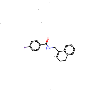 O=C(NCC1=CCCc2ccccc21)c1ccc(I)cc1